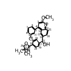 COc1cc(-c2cccc(Cl)c2)c2cc(C(O)c3ccc(C4=NC(C)(C)CO4)cc3)ccc2n1